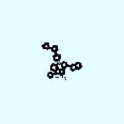 CC1(c2ccccc2)c2ccccc2-c2c(N(c3ccc(-c4cccc(-c5ccccc5)c4)cc3)c3ccc(-c4ccc5ccccc5c4)cc3)cccc21